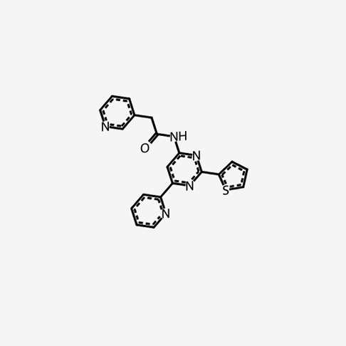 O=C(Cc1cccnc1)Nc1cc(-c2ccccn2)nc(-c2cccs2)n1